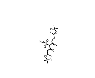 CC1(C)OCC(COC(=O)C(C(=O)CC2COC(C)(C)O2)S(=O)(=O)O)O1